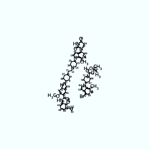 COc1cc2nn(C3CCC(CCN4CCC(n5ccc6c(N7CCC(=O)NC7=O)cnc(C)c65)CC4)CC3)cc2cc1C(=O)Nc1cccn(C2CC2)c1=O.Cc1ncc(Br)c2ccn(C3CCN(C(=O)OC(C)(C)C)CC3)c12